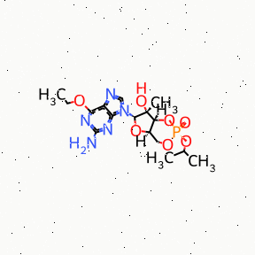 CCOc1nc(N)nc2c1ncn2[C@@H]1O[C@@H]2CO[P@](=O)(OC(C)C)O[C@H]2[C@@]1(C)O